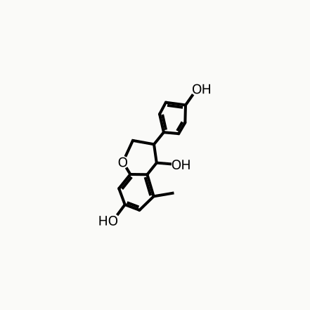 Cc1cc(O)cc2c1C(O)C(c1ccc(O)cc1)CO2